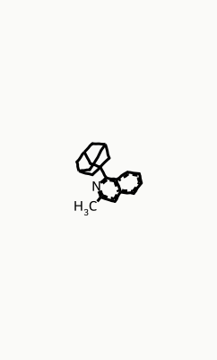 Cc1cc2ccccc2c(C23CC4CC(CC(C4)C2)C3)n1